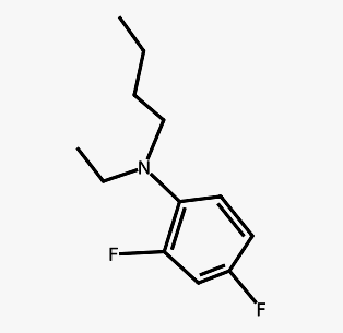 CCCCN(CC)c1ccc(F)cc1F